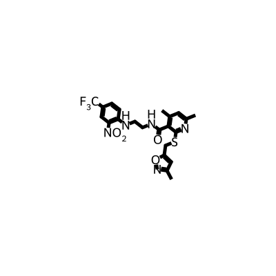 Cc1cc(CSc2nc(C)cc(C)c2C(=O)NCCNc2ccc(C(F)(F)F)cc2[N+](=O)[O-])on1